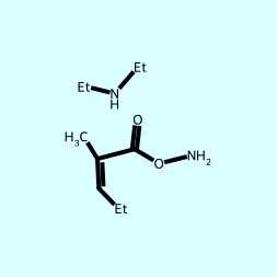 CCC=C(C)C(=O)ON.CCNCC